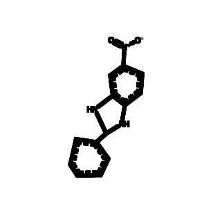 O=[N+]([O-])c1ccc2c(c1)NC(c1ccccc1)N2